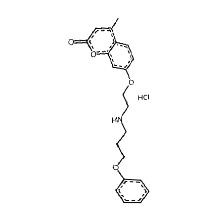 Cc1cc(=O)oc2cc(OCCNCCCOc3ccccc3)ccc12.Cl